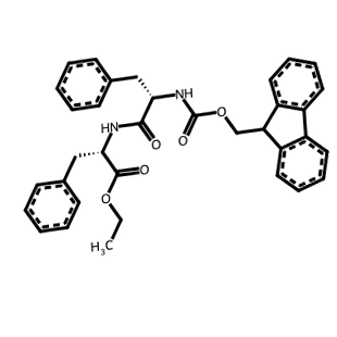 CCOC(=O)[C@H](Cc1ccccc1)NC(=O)[C@H](Cc1ccccc1)NC(=O)OCC1c2ccccc2-c2ccccc21